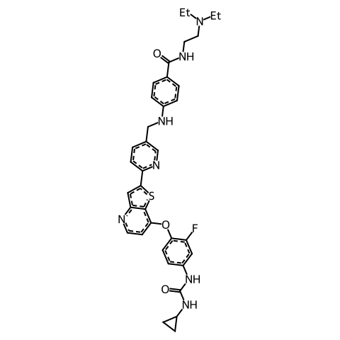 CCN(CC)CCNC(=O)c1ccc(NCc2ccc(-c3cc4nccc(Oc5ccc(NC(=O)NC6CC6)cc5F)c4s3)nc2)cc1